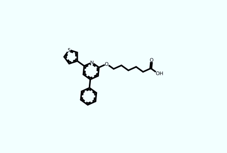 O=C(O)CCCCCOc1cc(-c2ccccc2)cc(-c2ccsc2)n1